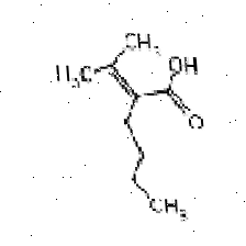 CCCCC(C(=O)O)=C(C)C